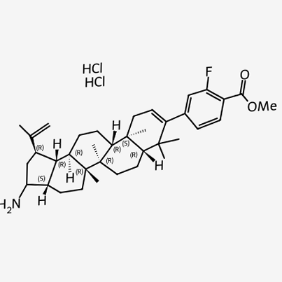 C=C(C)[C@@H]1CC(N)[C@H]2CC[C@]3(C)[C@H](CC[C@@H]4[C@@]5(C)CC=C(c6ccc(C(=O)OC)c(F)c6)C(C)(C)[C@@H]5CC[C@]43C)[C@H]21.Cl.Cl